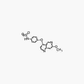 COc1cc2nccc(Oc3ccc(N[SH](=O)=O)cc3)c2cn1